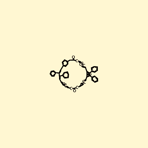 O=C1Cc2ccc(cc2)/C=C(c2ccccc2)/C(c2ccccc2)=C/c2ccc(cc2)CC(=O)Cc2ccc(cc2)C2=C(c3ccccc3)C(c3ccccc3)=C(C2=O)c2ccc(cc2)C1